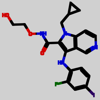 O=C(NOCCO)c1c(Nc2ccc(I)cc2F)c2cnccc2n1CC1CC1